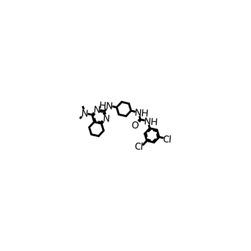 CN(C)c1nc(NC2CCC(NC(=O)Nc3cc(Cl)cc(Cl)c3)CC2)nc2c1CCCC2